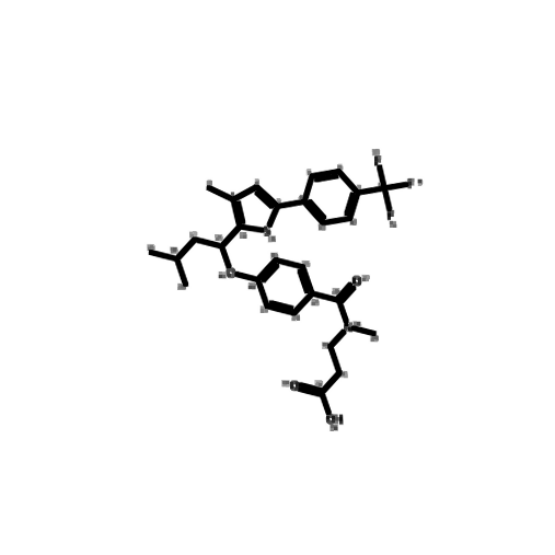 Cc1cc(-c2ccc(C(F)(F)F)cc2)sc1C(CC(C)C)Oc1ccc(C(=O)N(C)CCC(=O)O)cc1